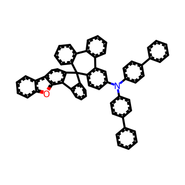 c1ccc(-c2ccc(N(c3ccc(-c4ccccc4)cc3)c3ccc4c(c3)-c3ccccc3-c3ccccc3C43c4ccccc4-c4c3ccc3c4oc4ccccc43)cc2)cc1